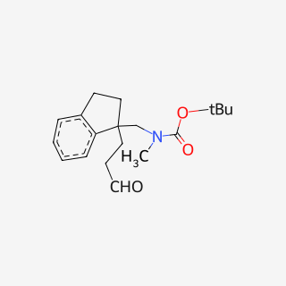 CN(CC1(CCC=O)CCc2ccccc21)C(=O)OC(C)(C)C